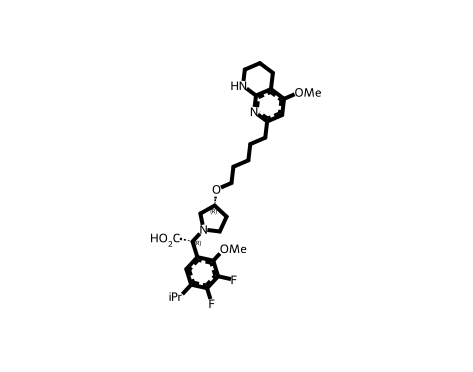 COc1cc(CCCCCO[C@@H]2CCN([C@@H](C(=O)O)c3cc(C(C)C)c(F)c(F)c3OC)C2)nc2c1CCCN2